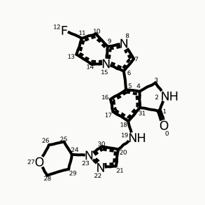 O=C1NCc2c(-c3cnc4cc(F)ccn34)ccc(Nc3cnn(C4CCOCC4)c3)c21